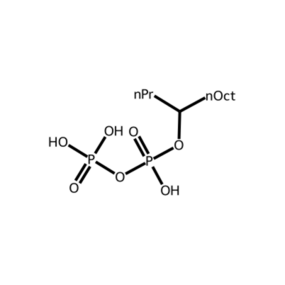 CCCCCCCCC(CCC)OP(=O)(O)OP(=O)(O)O